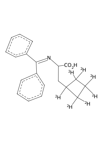 [2H]C1([2H])C([2H])([2H])C([2H])(CC(N=C(c2ccccc2)c2ccccc2)C(=O)O)C1([2H])[2H]